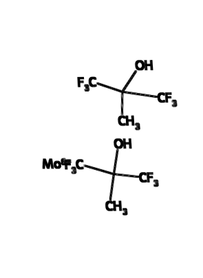 CC(O)(C(F)(F)F)C(F)(F)F.CC(O)(C(F)(F)F)C(F)(F)F.[Mo+6]